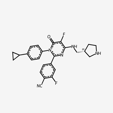 N#Cc1ccc(-c2nc(NC[C@@H]3CCNC3)c(F)c(=O)n2-c2ccc(C3CC3)cc2)cc1F